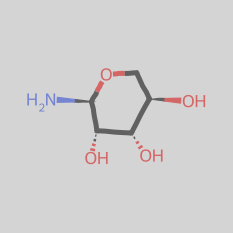 N[C@H]1OC[C@@H](O)[C@H](O)[C@@H]1O